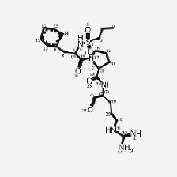 CCCS(=O)(=O)N[C@H](Cc1ccccc1)C(=O)N1CCC[C@H]1C(=O)N[C@H](C=O)CCCNC(=N)N